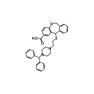 O=C(O)c1ccc2c(c1)C(SCCN1CCN(C(c3ccccc3)c3ccccc3)CC1)c1ccccc1CO2